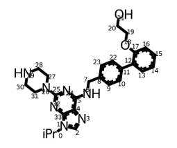 CC(C)n1cnc2c(NCc3ccc(-c4ccccc4OCCO)cc3)nc(N3CCNCC3)nc21